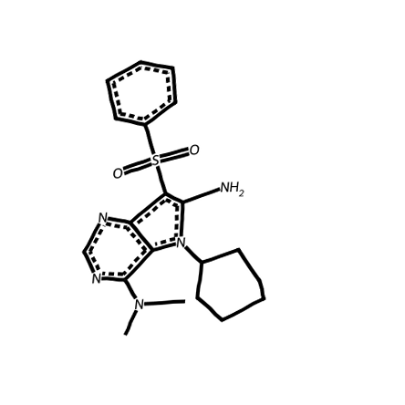 CN(C)c1ncnc2c(S(=O)(=O)c3ccccc3)c(N)n(C3CCCCC3)c12